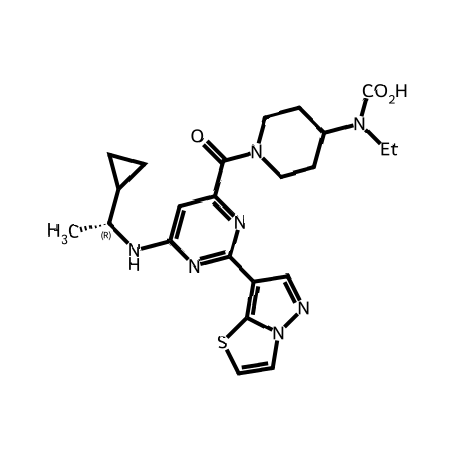 CCN(C(=O)O)C1CCN(C(=O)c2cc(N[C@H](C)C3CC3)nc(-c3cnn4ccsc34)n2)CC1